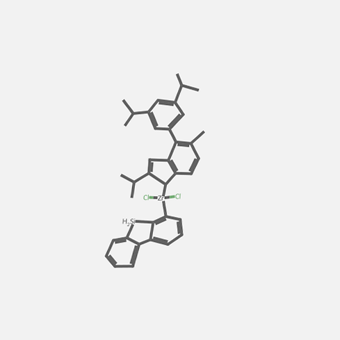 Cc1ccc2c(c1-c1cc(C(C)C)cc(C(C)C)c1)C=C(C(C)C)[CH]2[Zr]([Cl])([Cl])[c]1cccc2c1[SiH2]c1ccccc1-2